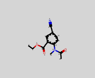 CCOC(=O)c1cc(C#N)ccc1N(C)C(C)=O